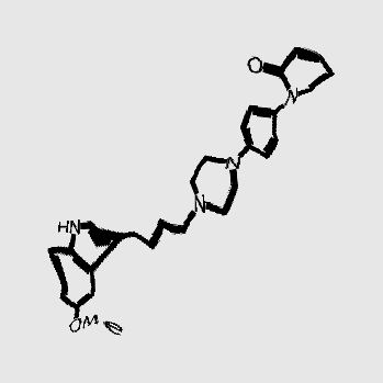 COc1ccc2[nH]cc(CCCN3CCN(c4ccc(-n5ccccc5=O)cc4)CC3)c2c1